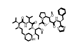 CC[C@H](C)[C@@H]([C@H](CC(=O)N1CCC[C@H]1[C@H](OC)[C@@H](C)C(=O)N[C@@H](Cc1ccccc1)c1nccs1)OC)N(C)C(=O)[C@@H](NC(=O)[C@H](C(C)C)N(C)CCN1CCNCC1)C(C)C